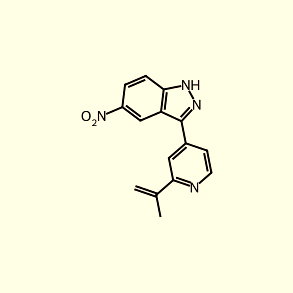 C=C(C)c1cc(-c2n[nH]c3ccc([N+](=O)[O-])cc23)ccn1